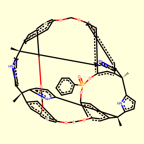 C[C@@]12c3cc4cc(c3)OCOc3cc5cc(c3)[C@@](C)(c3ccc1[nH]3)c1ccc([nH]1)[C@]1(C)c3cc(cc(c3)OP(=O)(c3ccccc3)O5)OCOc3cc(cc(c3)[C@](C)(c3ccc2[nH]3)c2ccc1[nH]2)OCO4